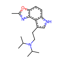 Cc1nc2c(ccc3[nH]cc(CCN(C(C)C)C(C)C)c32)o1